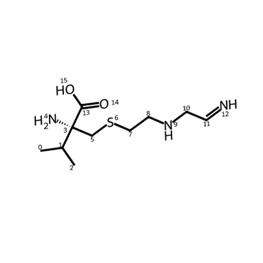 CC(C)[C@](N)(CSCCNCC=N)C(=O)O